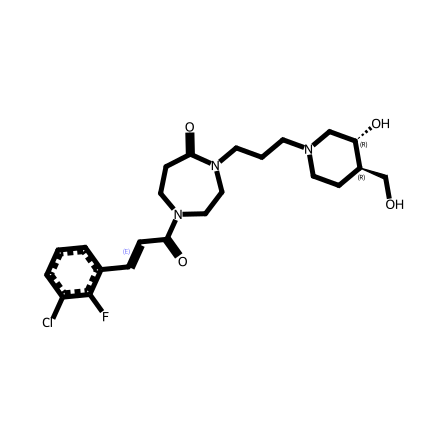 O=C(/C=C/c1cccc(Cl)c1F)N1CCC(=O)N(CCCN2CC[C@H](CO)[C@@H](O)C2)CC1